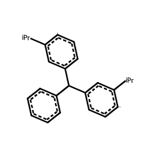 CC(C)c1[c]ccc(C(c2ccccc2)c2cc[c]c(C(C)C)c2)c1